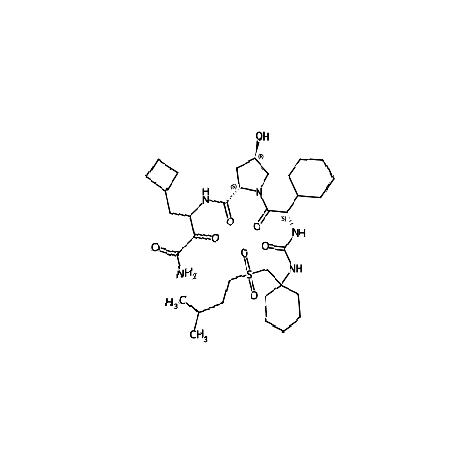 CC(C)CCS(=O)(=O)CC1(NC(=O)N[C@H](C(=O)N2C[C@H](O)C[C@H]2C(=O)NC(CC2CCC2)C(=O)C(N)=O)C2CCCCC2)CCCCC1